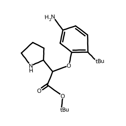 CC(C)(C)OC(=O)C(Oc1cc(N)ccc1C(C)(C)C)C1CCCN1